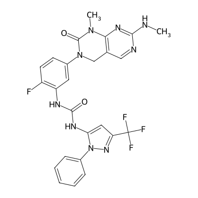 CNc1ncc2c(n1)N(C)C(=O)N(c1ccc(F)c(NC(=O)Nc3cc(C(F)(F)F)nn3-c3ccccc3)c1)C2